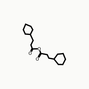 O=C(CCC1CCCCC1)OC(=O)CCC1CCCCC1